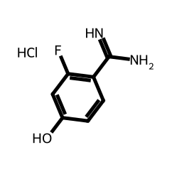 Cl.N=C(N)c1ccc(O)cc1F